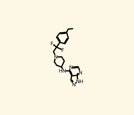 CCc1ccc(C(F)(F)CN2CCC(Nc3ncnc4[nH]ncc34)CC2)cc1